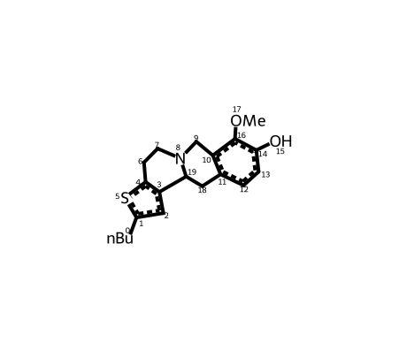 CCCCc1cc2c(s1)CCN1Cc3c(ccc(O)c3OC)CC21